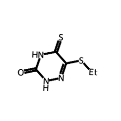 CCSc1n[nH]c(=O)[nH]c1=S